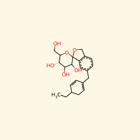 CCC1C=CC(Cc2ccc3c(c2)[C@@]2(OC3)OC(CO)[C@@H](O)C(O)C2O)=CC1